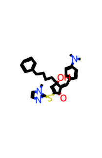 CN(C)c1ccc(C=C2C(=O)C(Sc3nccn3C)=CC2(O)CCCCc2ccccc2)cc1